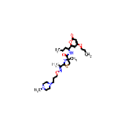 C=CCOc1cc(C(CCC)NC(=O)C2(C)CSC(/C(C)=N/OCCCN3CCN(C)CC3)=N2)oc(=O)c1